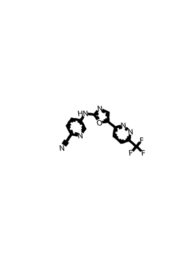 N#Cc1ccc(Nc2ncc(-c3ccc(C(F)(F)F)nn3)o2)cn1